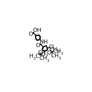 CC(C)(C)Oc1cc(C(=O)Nc2ccc(C(=O)O)cc2)cc(Cl)c1OC(C)(C)C